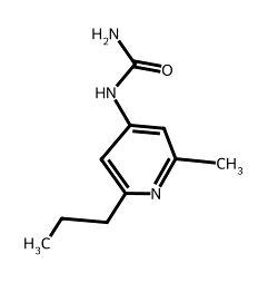 CCCc1cc(NC(N)=O)cc(C)n1